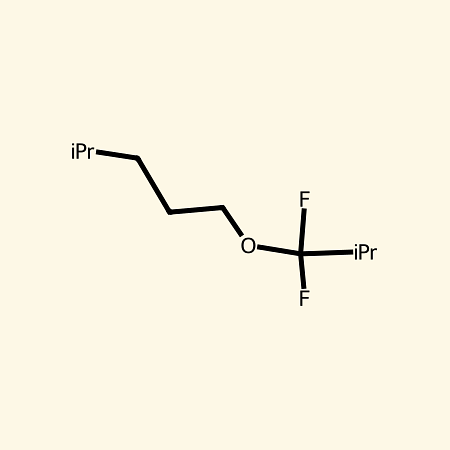 CC(C)CCCOC(F)(F)C(C)C